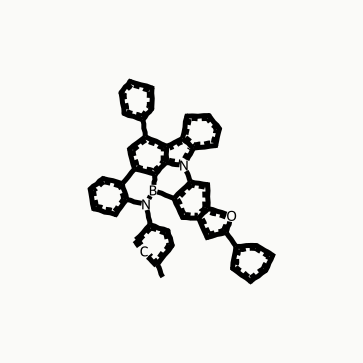 Cc1ccc(N2B3c4cc5cc(-c6ccccc6)oc5cc4-n4c5ccccc5c5c(-c6ccccc6)cc(c3c54)-c3ccccc32)cc1